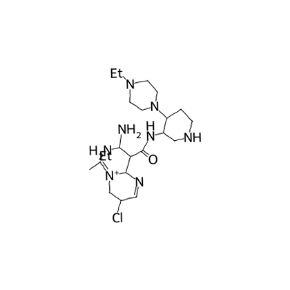 CC/C(C)=[N+]1/CC(Cl)C=NC1C(C(=O)NC1CNCCC1N1CCN(CC)CC1)C(N)N